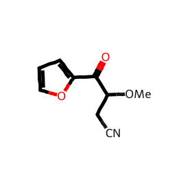 COC(CC#N)C(=O)c1ccco1